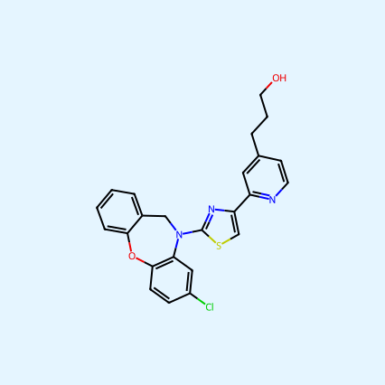 OCCCc1ccnc(-c2csc(N3Cc4ccccc4Oc4ccc(Cl)cc43)n2)c1